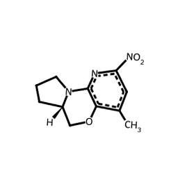 Cc1cc([N+](=O)[O-])nc2c1OC[C@@H]1CCCN21